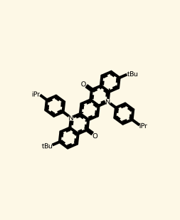 CC(C)c1ccc(-n2c3cc(C(C)(C)C)ccc3c(=O)c3cc4c(cc32)c(=O)c2ccc(C(C)(C)C)cc2n4-c2ccc(C(C)C)cc2)cc1